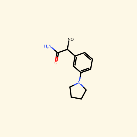 NC(=O)C(N=O)c1cccc(N2CCCC2)c1